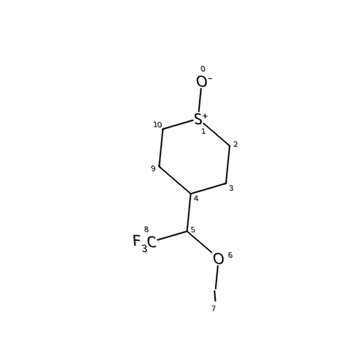 [O-][S+]1CCC(C(OI)C(F)(F)F)CC1